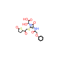 O=C(COc1ccccc1)N[C@@H]1C(=O)N(C(O)C(=O)O)[C@@H]1SCC(=O)C1CCC(=O)S1